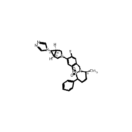 C[C@H]1CCC(c2ccccc2)S(=O)(=O)N1Cc1cc(F)c(N2C[C@@H]3[C@H](C2)[C@H]3n2cnnc2)cc1F